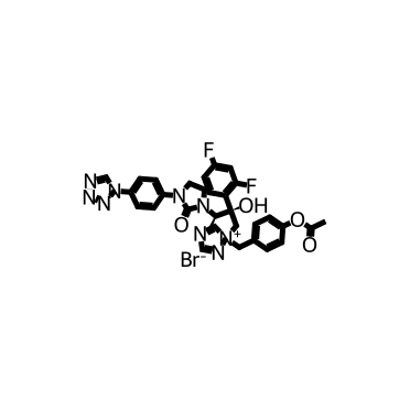 CC(=O)Oc1ccc(C[N+]2(C[C@](O)(c3ccc(F)cc3F)[C@@H](C)N3CCN(c4ccc(-n5cnnn5)cc4)C3=O)C=NC=N2)cc1.[Br-]